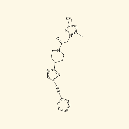 Cc1cc(C(F)(F)F)nn1CC(=O)N1CCC(c2nc(C#Cc3cccnc3)cs2)CC1